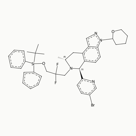 C[C@@H]1Cc2c(ccc3c2cnn3C2CCCCO2)[C@@H](c2ccc(Br)cn2)N1CC(F)(F)CO[Si](c1ccccc1)(c1ccccc1)C(C)(C)C